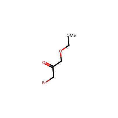 COCOCC(=O)CBr